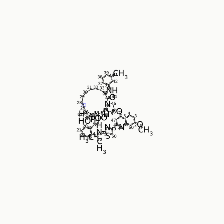 COc1ccc2c(O[C@@H]3C[C@H]4C(=O)N[C@]5(P(=O)(O)Cc6ccccc6)C[C@H]5/C=C\CCCCC[C@H](Nc5cccc(C)c5)C(=O)N4C3)cc(-c3csc(NC(C)C)n3)nc2c1